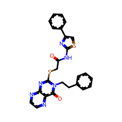 O=C(CSc1nc2nccnc2c(=O)n1CCc1ccccc1)Nc1nc(-c2ccccc2)cs1